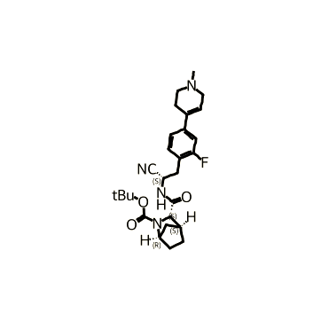 CN1CC=C(c2ccc(C[C@@H](C#N)NC(=O)[C@@H]3[C@H]4CC[C@H](C4)N3C(=O)OC(C)(C)C)c(F)c2)CC1